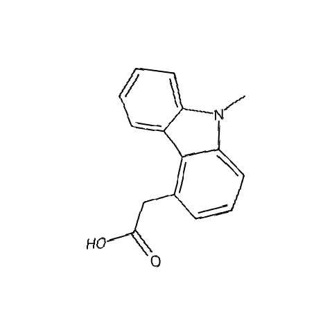 Cn1c2ccccc2c2c(CC(=O)O)cccc21